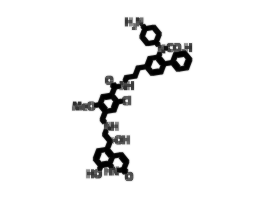 COc1cc(C(=O)NCCCc2ccc(-c3ccccc3)c(N(C(=O)O)C3CCC(N)CC3)c2)c(Cl)cc1CNC[C@H](O)c1ccc(O)c2[nH]c(=O)ccc12